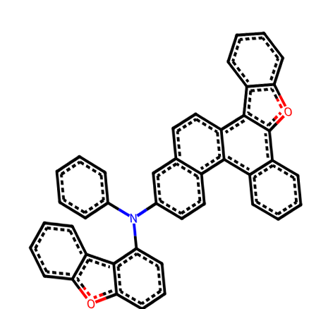 c1ccc(N(c2ccc3c(ccc4c3c3ccccc3c3oc5ccccc5c43)c2)c2cccc3oc4ccccc4c23)cc1